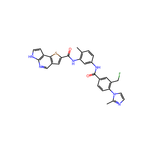 Cc1ccc(NC(=O)c2ccc(-n3ccnc3C)c(CF)c2)cc1NC(=O)c1cc2cnc3[nH]ccc3c2s1